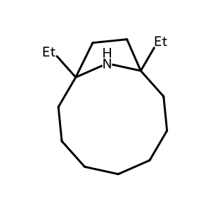 CCC12CCCCCCCC(CC)(CC1)N2